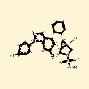 CNS(=O)(=O)N1C[C@@H]2[C@@H](C3C=CC=CC3)[C@]2(c2cc3cnn(-c4ccc(F)cc4)c3cc2C)C1